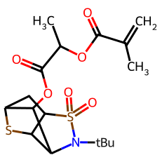 C=C(C)C(=O)OC(C)C(=O)OC1C2CC3C(S2)C1N(C(C)(C)C)S3(=O)=O